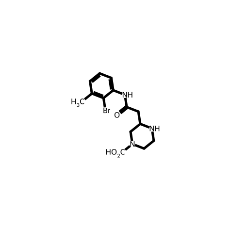 Cc1cccc(NC(=O)CC2CN(C(=O)O)CCN2)c1Br